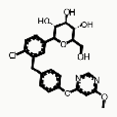 COc1cc(Oc2ccc(Cc3cc(C4OC(CO)[C@@H](O)[C@H](O)[C@H]4O)ccc3Cl)cc2)ncn1